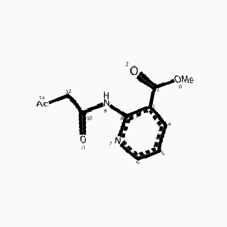 COC(=O)c1cccnc1NC(=O)CC(C)=O